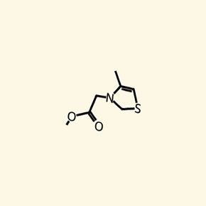 COC(=O)CN1CSC=C1C